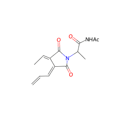 C=C/C=C1/C(=O)N(C(C)C(=O)NC(C)=O)C(=O)/C1=C/C